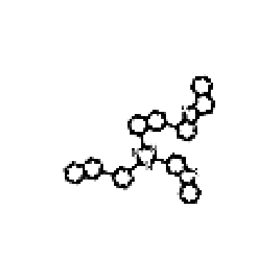 c1cc(-c2ccc3ccccc3c2)cc(-c2nc(-c3ccc4sc5ccccc5c4c3)nc(-c3cccc4ccc(-c5cccc6c5sc5c7ccccc7ccc65)cc34)n2)c1